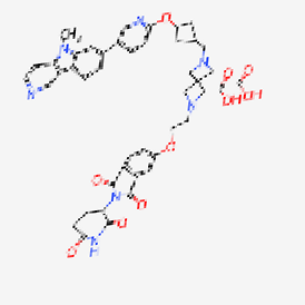 Cn1c2ccncc2c2ccc(-c3ccc(OC4CC(CN5CC6(CN(CCOc7ccc8c(c7)C(=O)N(C7CCC(=O)NC7=O)C8=O)C6)C5)C4)nc3)cc21.O=CO.O=CO